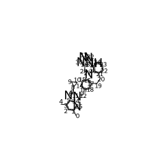 Cc1cc(C)c2nc(C3CC3)n(Cc3ccc4c(c3)CCc3ccccc3N4Cc3nnn[nH]3)c2n1